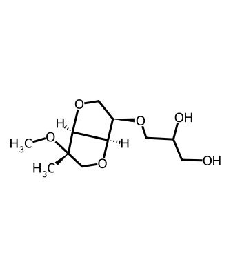 CO[C@@]1(C)CO[C@@H]2[C@H](OCC(O)CO)CO[C@@H]21